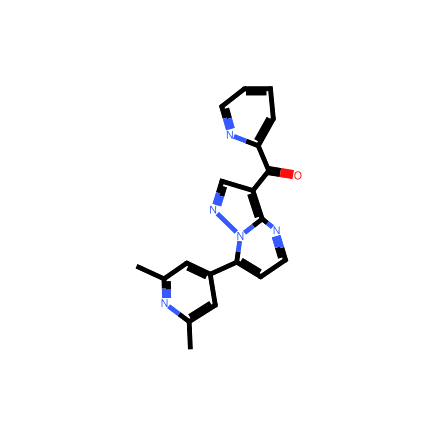 Cc1cc(-c2ccnc3c(C(=O)c4ccccn4)cnn23)cc(C)n1